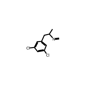 C=NC(C)Cc1cc(Cl)cc(Cl)c1